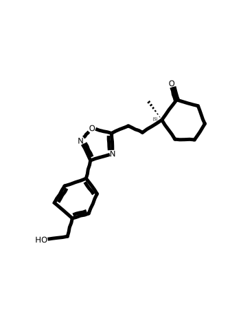 C[C@@]1(CCc2nc(-c3ccc(CO)cc3)no2)CCCCC1=O